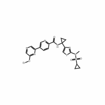 CCOc1cncc(-c2ccc(C(=O)NC3(c4csc(N(C)S(=O)(=O)C5CC5)n4)CC3)nc2)n1